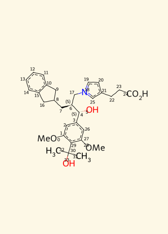 COc1cc([C@@H](O)[C@@H](CC2Cc3ccccc3C2)Cn2ccc(CCC(=O)O)c2)cc(OC)c1C(C)(C)O